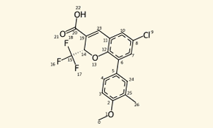 COc1ccc(-c2cc(Cl)cc3c2O[C@H](C(F)(F)F)C(C(=O)O)=C3)cc1C